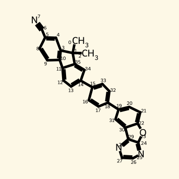 CC1(C)c2cc(C#N)ccc2-c2ccc(-c3ccc(-c4ccc5oc6nccnc6c5c4)cc3)cc21